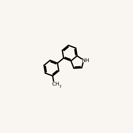 Cc1cccc(-c2cccc3[nH]ccc23)c1